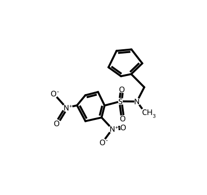 CN(Cc1ccccc1)S(=O)(=O)c1ccc([N+](=O)[O-])cc1[N+](=O)[O-]